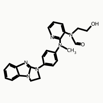 CN(c1ccc(N2CCn3c2nc2ccccc23)cc1)c1ncccc1N(C=O)CCO